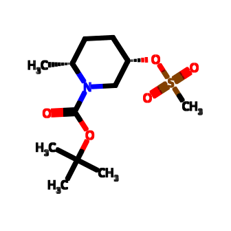 C[C@@H]1CC[C@H](OS(C)(=O)=O)CN1C(=O)OC(C)(C)C